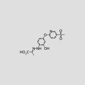 CC(=NNc1ccc(Oc2ccc(S(C)(=O)=O)cn2)cc1O)C(=O)O